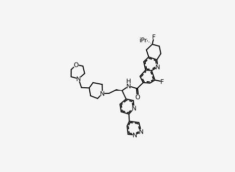 CC(C)[C@]1(F)CCc2nc3c(F)cc(C(=O)N[C@H](CCN4CCC(CN5CCOCC5)CC4)c4ccc(-c5ccnnc5)nc4)cc3cc2C1